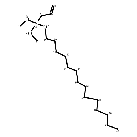 C=CC[Si](OC)(OC)OCCCCCCCCCCCCCC